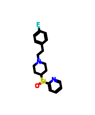 [O-][S+](c1ccccn1)C1CCN(CCc2ccc(F)cc2)CC1